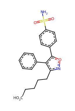 NS(=O)(=O)c1ccc(-c2onc(CCCCC(=O)O)c2-c2ccccc2)cc1